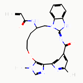 C=CC(=O)NC1CCCOc2c(ncn2C)-c2cc(cc(C)n2)C(=O)/N=C2\Nc3ccccc3N2C1